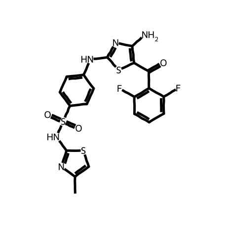 Cc1csc(NS(=O)(=O)c2ccc(Nc3nc(N)c(C(=O)c4c(F)cccc4F)s3)cc2)n1